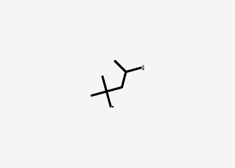 [C]C(C)CC([CH2])(C)C